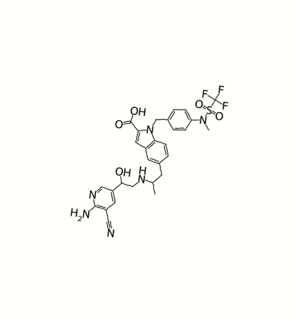 CC(Cc1ccc2c(c1)cc(C(=O)O)n2Cc1ccc(N(C)S(=O)(=O)C(F)(F)F)cc1)NCC(O)c1cnc(N)c(C#N)c1